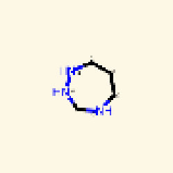 [CH]1CCNNCN1